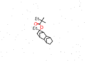 CCC(C)(C)C(=O)O[C@@]1(CC)CC2CC1C1C3CCC(C3)C21